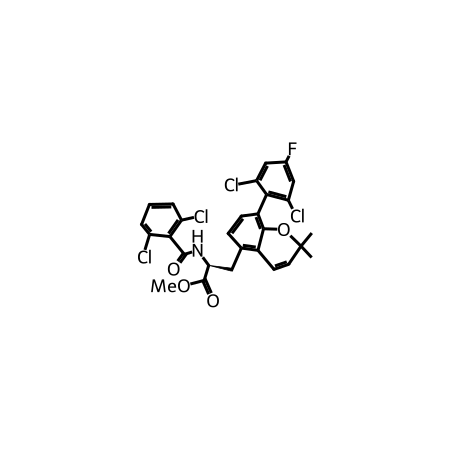 COC(=O)[C@H](Cc1ccc(-c2c(Cl)cc(F)cc2Cl)c2c1C=CC(C)(C)O2)NC(=O)c1c(Cl)cccc1Cl